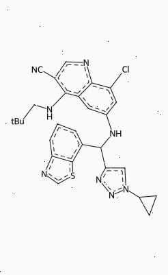 CC(C)(C)CNc1c(C#N)cnc2c(Cl)cc(NC(c3cn(C4CC4)nn3)c3cccc4ncsc34)cc12